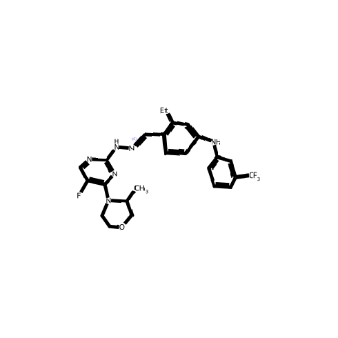 CCc1cc(Nc2cccc(C(F)(F)F)c2)ccc1/C=N/Nc1ncc(F)c(N2CCOCC2C)n1